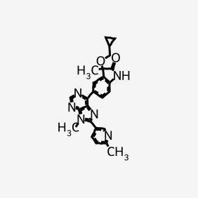 Cc1ccc(-c2nc3c(-c4ccc5c(c4)C(C)(OCC4CC4)C(=O)N5)ncnc3n2C)cn1